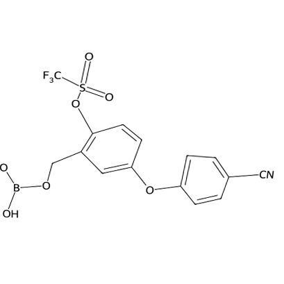 N#Cc1ccc(Oc2ccc(OS(=O)(=O)C(F)(F)F)c(COB(O)O)c2)cc1